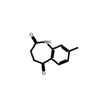 Cc1ccc2c(c1)NC(=O)CCC2=O